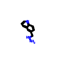 NNCc1ccc2ncccc2c1